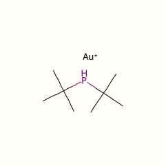 CC(C)(C)PC(C)(C)C.[Au+]